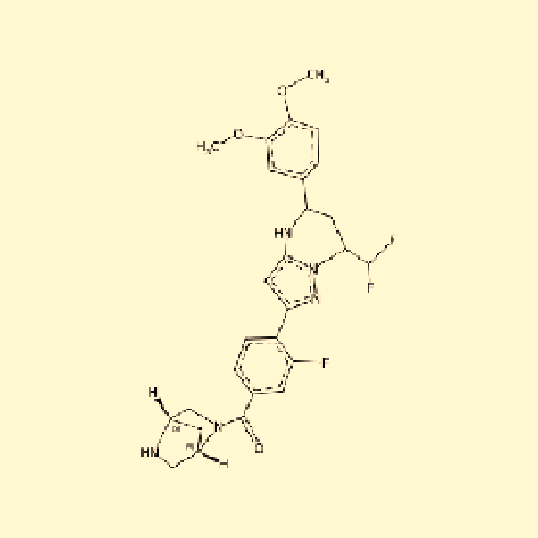 COc1ccc(C2CC(C(F)F)n3nc(-c4ccc(C(=O)N5C[C@@H]6C[C@H]5CN6)cc4F)cc3N2)cc1OC